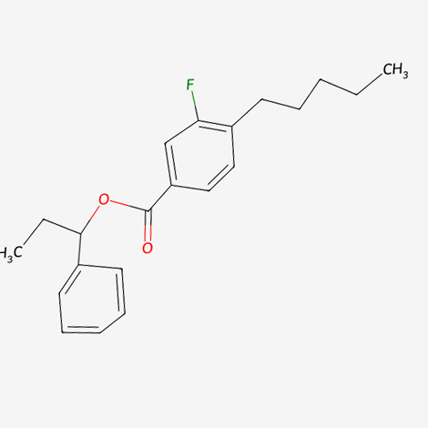 CCCCCc1ccc(C(=O)OC(CC)c2ccccc2)cc1F